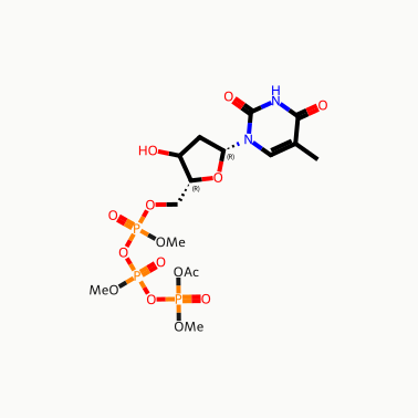 COP(=O)(OC[C@H]1O[C@@H](n2cc(C)c(=O)[nH]c2=O)CC1O)OP(=O)(OC)OP(=O)(OC)OC(C)=O